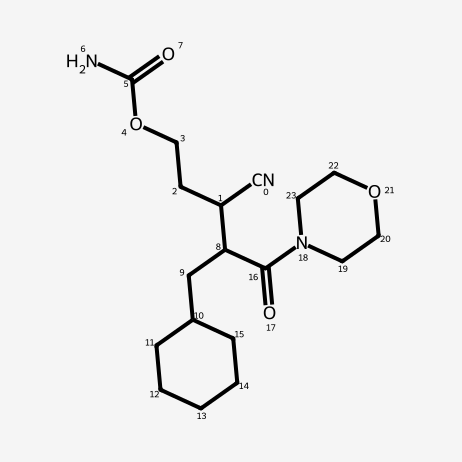 N#CC(CCOC(N)=O)C(CC1CCCCC1)C(=O)N1CCOCC1